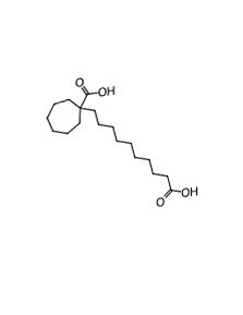 O=C(O)CCCCCCCCCC1(C(=O)O)CCCCCC1